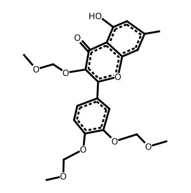 COCOc1ccc(-c2oc3cc(C)cc(O)c3c(=O)c2OCOC)cc1OCOC